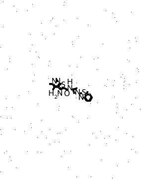 Cc1nnc2sc(C(=O)NC3CN(C4=NC5=CC=CCC5(C)S4)C3)c(N)c2c1C